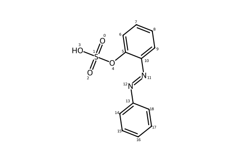 O=S(=O)(O)Oc1ccccc1N=Nc1ccccc1